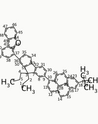 CCCC1(CCC)c2cc(-c3ccc4ccc5cc(C(C)(C)C)cc6ccc3c4c56)ccc2-c2ccc(-c3cccc4c3oc3ccccc34)cc21